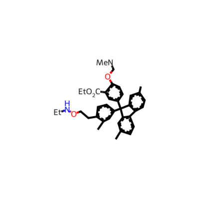 CCNOCCc1ccc(C2(c3ccc(OCNC)c(C(=O)OCC)c3)c3cc(C)ccc3-c3ccc(C)cc32)cc1C